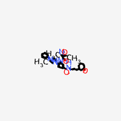 Cc1ccccc1N1CCN(c2ccc(C(=O)NCCCC3CCCCC(=O)C3)cc2NC(=O)c2c(C)noc2C)CC1